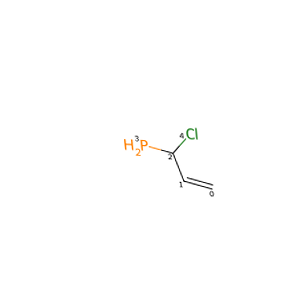 C=CC(P)Cl